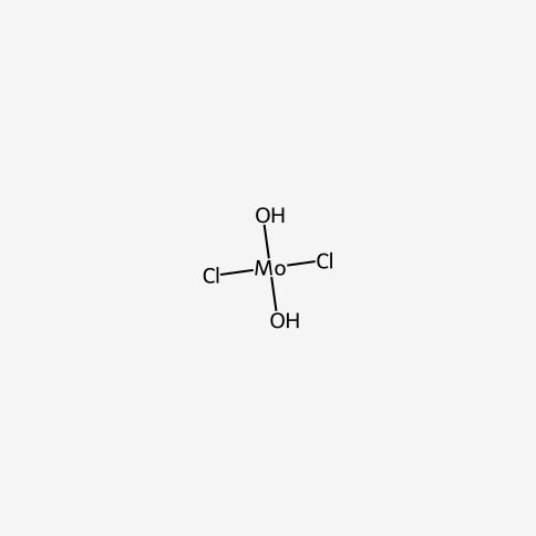 [OH][Mo]([OH])([Cl])[Cl]